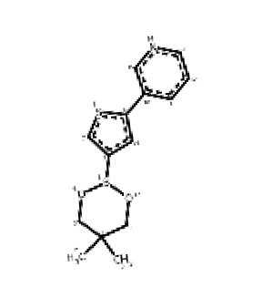 CC1(C)COB(c2csc(-c3cccnc3)c2)OC1